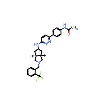 CC(=O)Nc1ccc(-c2ccc(NC3C[C@@H]4CN(Cc5ccccc5C(F)(F)F)C[C@@H]4C3)nn2)cc1